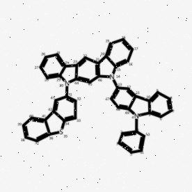 c1ccc(-n2c3ccccc3c3cc(-n4c5ccccc5c5cc6c7ccccc7n(-c7ccc8sc9ccccc9c8c7)c6cc54)ccc32)cc1